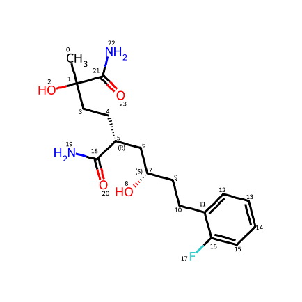 CC(O)(CC[C@H](C[C@@H](O)[CH]Cc1ccccc1F)C(N)=O)C(N)=O